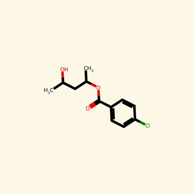 CC(O)CC(C)OC(=O)c1ccc(Cl)cc1